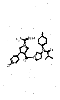 CC1CCC(N(C(=O)C(C)C)C2CCN(C(=O)C3CN(C(=N)N)CC3c3ccc(Cl)cc3)C2)CC1